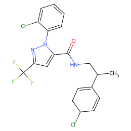 CC(CNC(=O)c1cc(C(F)(F)F)nn1-c1ccccc1Cl)C1=CCC(Cl)C=C1